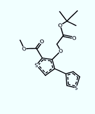 COC(=O)c1scc(-c2ccsc2)c1OCC(=O)OC(C)(C)C